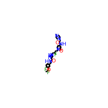 CN1CCN(CC(=O)Nc2ccn(CCC(F)Cn3cc(C(=O)NCc4cccc(OC(C)(F)F)c4)nn3)c(=O)c2)CC1